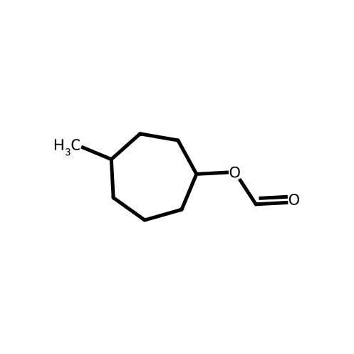 CC1CCCC(OC=O)CC1